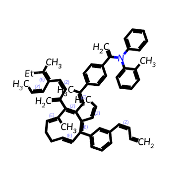 C=C/C=C\c1cccc(C2=C(\C=C/C)C(/C=C(\C)c3ccc(C(=C)N(c4ccccc4)c4ccccc4C)cc3)=C(C(=C)\C=C/C(/C=C\C)=C(\C)CC)\C(C)=C\CC\C=C\2)c1